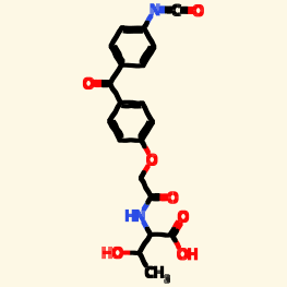 CC(O)C(NC(=O)COc1ccc(C(=O)c2ccc(N=C=O)cc2)cc1)C(=O)O